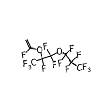 C=C(F)OC(F)(C(F)(F)F)C(F)(F)OC(F)(F)C(F)(F)C(F)(F)F